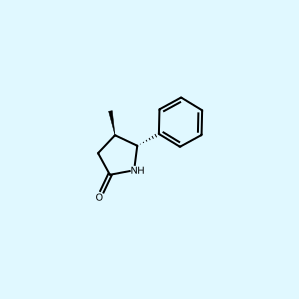 C[C@@H]1CC(=O)N[C@H]1c1ccccc1